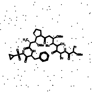 CC[C@H](C)[C@@H]([C@@H](CC(=O)N1CCC[C@H]1[C@H](OC)[C@@H](C)C(=O)N[C@@H](Cc1ccccc1)C(=O)NS(=O)(=O)C1CC1)OC)N(C)C(=O)[C@@H](NC(=O)C(NC)C(C)C)C(C)C